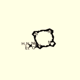 CCC(N)(N)Oc1cc2cc3nc(cc4ccc(cc5nc(cc1[nH]2)C=C5)[nH]4)C=C3